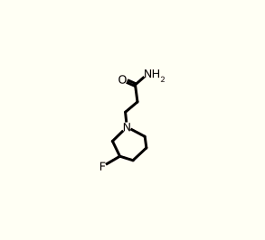 NC(=O)CCN1CCCC(F)C1